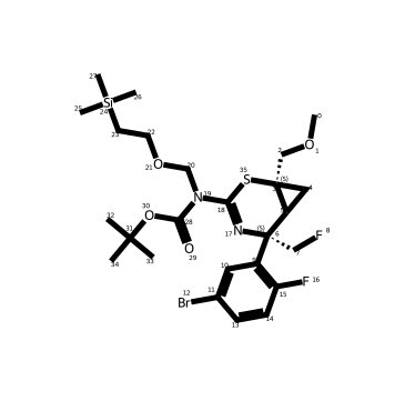 COC[C@]12CC1[C@@](CF)(c1cc(Br)ccc1F)N=C(N(COCC[Si](C)(C)C)C(=O)OC(C)(C)C)S2